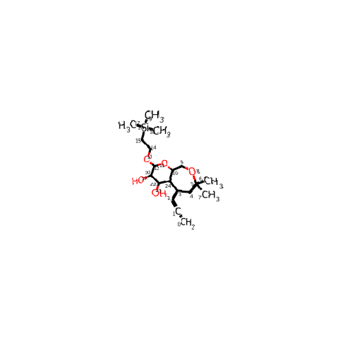 C=C=CC1CC(C)(C)OCC2OC(OCC[Si](C)(C)C)C(O)C(O)C12